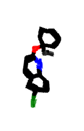 CC(C)(C)C1(Oc2ccc3cc(Br)ccc3n2)CCCCC1